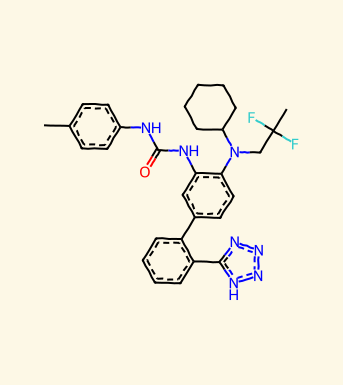 Cc1ccc(NC(=O)Nc2cc(-c3ccccc3-c3nnn[nH]3)ccc2N(CC(C)(F)F)C2CCCCC2)cc1